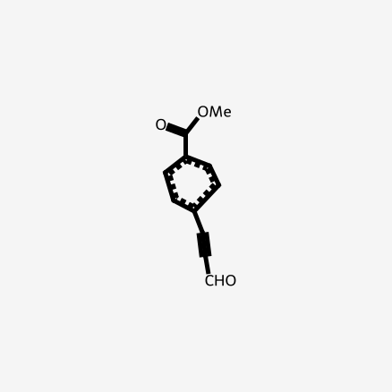 COC(=O)c1ccc(C#CC=O)cc1